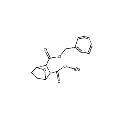 CCCCOC(=O)C1C2CCC(O2)C1C(=O)OCc1ccccc1